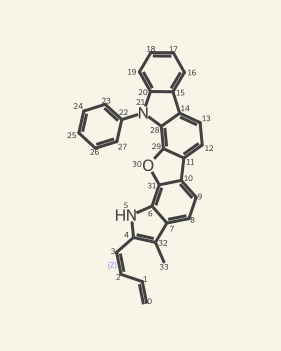 C=C/C=C\c1[nH]c2c(ccc3c4ccc5c6ccccc6n(-c6ccccc6)c5c4oc32)c1C